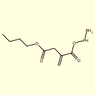 BPOC(=O)C(=C)CC(=O)OCCCC